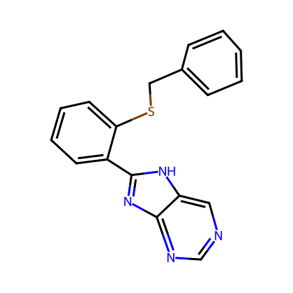 c1ccc(CSc2ccccc2-c2nc3ncncc3[nH]2)cc1